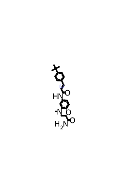 CN1CC(C(N)=O)Oc2ccc(NC(=O)/C=C/c3ccc(C(C)(C)C)cc3)cc21